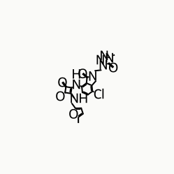 Cc1ccc(CNc2c(Nc3ccc(Cl)c4c3C(=O)N(CCn3nnn(C)c3=O)C4)c(=O)c2=O)o1